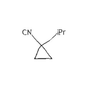 [C-]#[N+]C1(C(C)C)CC1